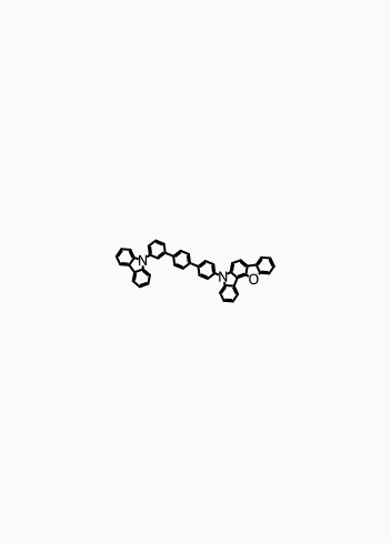 c1cc(-c2ccc(-c3ccc(-n4c5ccccc5c5c6oc7ccccc7c6ccc54)cc3)cc2)cc(-n2c3ccccc3c3ccccc32)c1